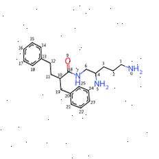 NCCCC(N)CNC(=O)C(CCc1ccccc1)Cc1ccccc1